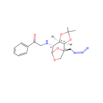 CC1(C)O[C@H]2[C@@H](O1)[C@]1(CN=[N+]=[N-])COC(O1)[C@@H]2NCC(=O)c1ccccc1